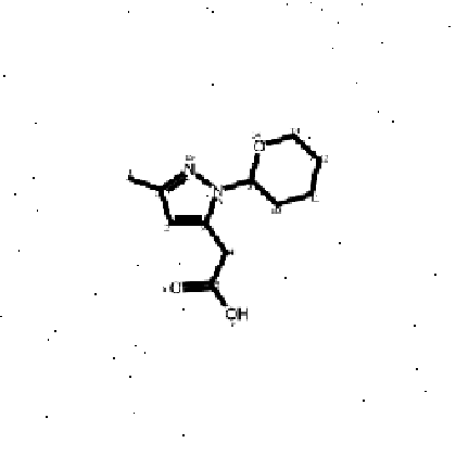 Cc1cc(CC(=O)O)n(C2CCCCO2)n1